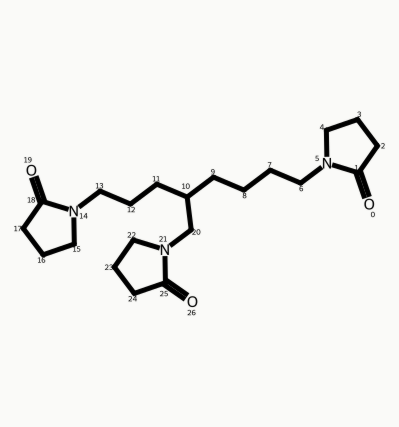 O=C1CCCN1CCCCC(CCCN1CCCC1=O)CN1CCCC1=O